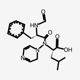 CC(C)C[C@@H](C(=O)O)N(C(=O)[C@H](Cc1ccccc1)NC=O)N1C=CN=CC1